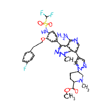 COC(=O)C1CCC(n2cc(-c3cnc(N)c4c(-c5ccc(NS(=O)(=O)C(F)F)c(OCCc6ccc(F)cc6)c5)nn(C)c34)cn2)CN1C